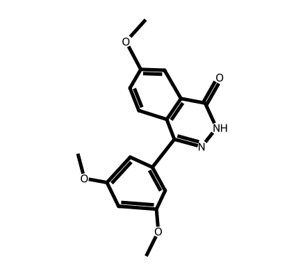 COc1cc(OC)cc(-c2n[nH]c(=O)c3cc(OC)ccc23)c1